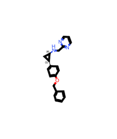 c1ccc(COc2ccc([C@@H]3C[C@H]3NCc3ncccn3)cc2)cc1